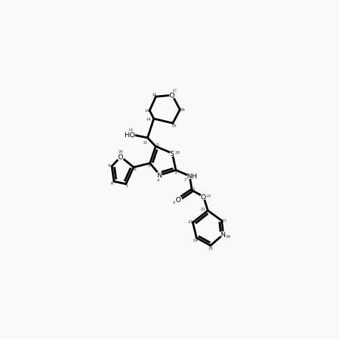 O=C(Nc1nc(-c2ccco2)c(C(O)C2CCOCC2)s1)Oc1cccnc1